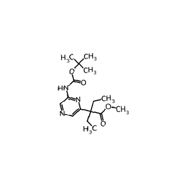 CCC(CC)(C(=O)OC)c1cncc(NC(=O)OC(C)(C)C)n1